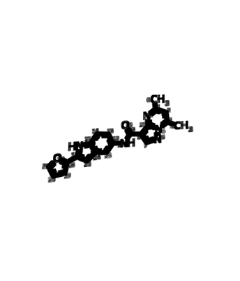 Cc1cc(C)n2ncc(C(=O)Nc3ccc4[nH]c(-c5ccco5)cc4c3)c2n1